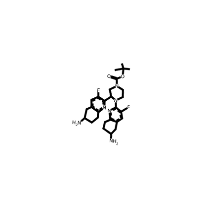 CC(C)(C)OC(=O)N1CCN(c2nc3c(cc2F)CC(N)CC3)C(c2nc3c(cc2F)CC(N)CC3)C1